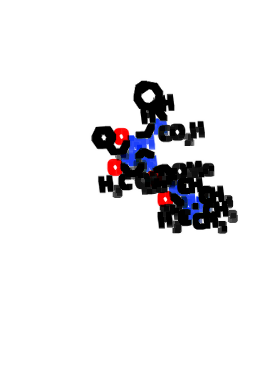 CC[C@H](C)[C@@H]([C@@H](CC(=O)N1CCC[C@H]1[C@H](OC)[C@@H](C)C(=O)N[C@@H](Cc1ccccc1)C(=O)NCCCN(CC1[C@H]2CCC#CCC[C@@H]12)C(=O)O)OC)N(C)C(=O)[C@@H](N=C(N(C)C)N(C)C)C(C)C